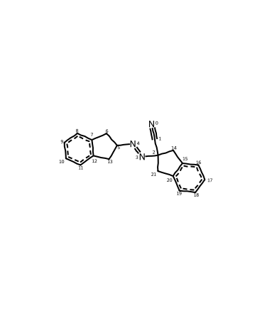 N#CC1(N=NC2Cc3ccccc3C2)Cc2ccccc2C1